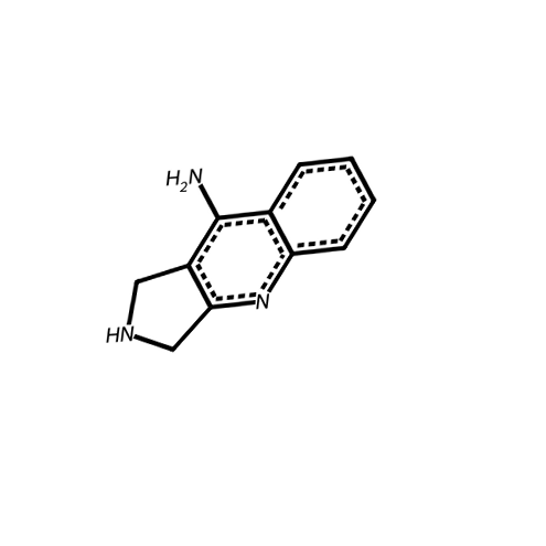 Nc1c2c(nc3ccccc13)CNC2